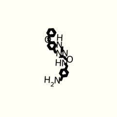 NCc1ccc(CNC(=O)c2cn3c(n2)CNc2cc(Oc4ccccc4)ccc2C3)cc1